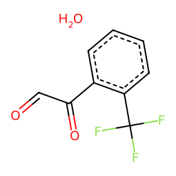 O.O=CC(=O)c1ccccc1C(F)(F)F